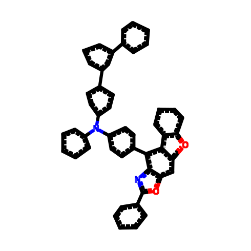 c1ccc(-c2cccc(-c3ccc(N(c4ccccc4)c4ccc(-c5c6nc(-c7ccccc7)oc6cc6oc7ccccc7c56)cc4)cc3)c2)cc1